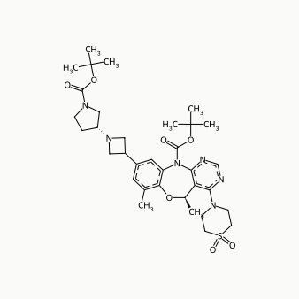 Cc1cc(C2CN([C@@H]3CCN(C(=O)OC(C)(C)C)C3)C2)cc2c1O[C@H](C)c1c(N3CCS(=O)(=O)CC3)ncnc1N2C(=O)OC(C)(C)C